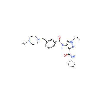 CN1CCN(Cc2cccc(C(=O)Nc3cn(C)nc3C(=O)NC3CCCC3)c2)CC1